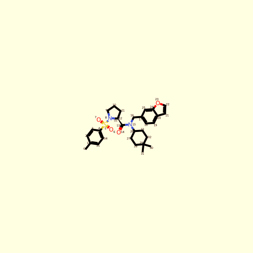 Cc1ccc(S(=O)(=O)N2CCC[C@H]2C(=O)N(Cc2ccc3ccoc3c2)C2CCC(C)(C)CC2)cc1